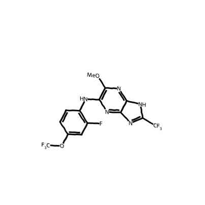 COc1nc2[nH]c(C(F)(F)F)nc2nc1Nc1ccc(OC(F)(F)F)cc1F